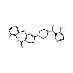 Cc1cccc2c1NC(=O)c1ccc(N3CCN(C(=O)c4ccccc4C(F)(F)F)CC3)nc1O2